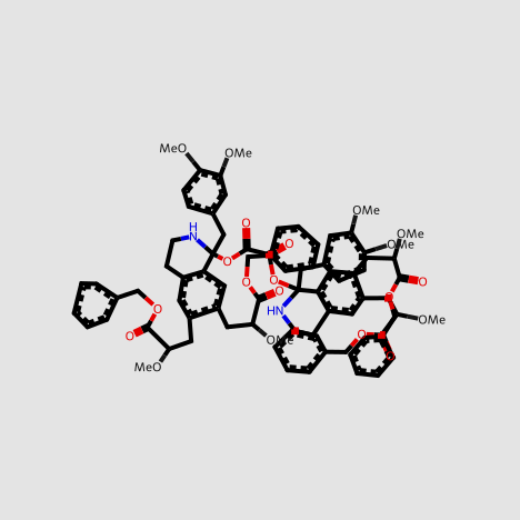 COc1ccc(CC2(OC(=O)C(=O)OC3(Cc4ccc(OC)c(OC)c4)NCCc4cc(CC(OC)C(=O)OCc5ccccc5)c(CC(OC)C(=O)OCc5ccccc5)cc43)NCCc3cc(CC(OC)C(=O)OCc4ccccc4)c(CC(OC)C(=O)OCc4ccccc4)cc32)cc1OC